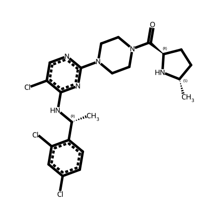 C[C@H]1CC[C@H](C(=O)N2CCN(c3ncc(Cl)c(N[C@H](C)c4ccc(Cl)cc4Cl)n3)CC2)N1